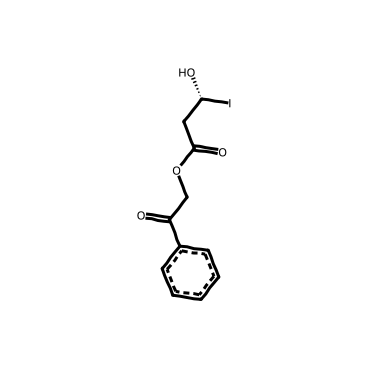 O=C(C[C@H](O)I)OCC(=O)c1ccccc1